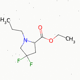 CCCN1CC(F)(F)CC1C(=O)OCC